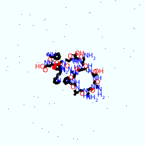 CNC(=O)c1ccccc1Sc1ccc2c(/C=C/c3ccccn3)nn(C(=O)N(CCOC(=O)CC[C@H](N)C(=O)O)CCC(=O)N[C@H](C(=O)N[C@@H](CCN)C(=O)N[C@H]3CCNC(=O)[C@H]([C@@H](C)O)NC(=O)[C@H](CCN)NC(=O)[C@H](CCN)NC(=O)[C@H](CC(C)C)NC(=O)[C@@H](Cc4ccccc4)NC(=O)[C@H](CCN)NC3=O)[C@@H](C)O)c2c1